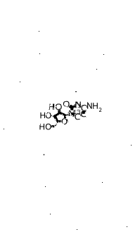 N[13c]1[13cH][13cH]n([C@@H]2O[C@H](CO)[C@H](O)C2O)c(=O)n1